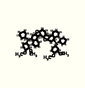 COc1ccc(N(c2ccccc2)c2cc3oc4c(ccc5oc6cc(N(c7ccccc7)c7ccc(OC)c(OC)c7)c7ccccc7c6c54)c3c3ccccc23)cc1OC